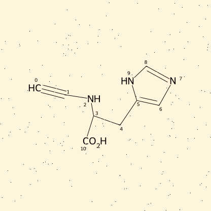 C#CNC(Cc1cnc[nH]1)C(=O)O